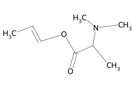 C/C=C/OC(=O)C(C)N(C)C